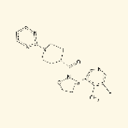 Cc1c(F)cncc1[C@@H]1CCON1C(=O)C1CCN(c2ncccn2)CC1